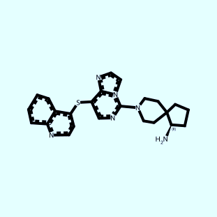 N[C@@H]1CCCC12CCN(c1ncc(Sc3ccnc4ccccc34)c3nccn13)CC2